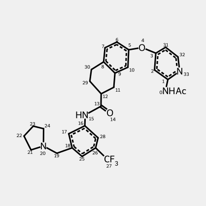 CC(=O)Nc1cc(Oc2ccc3c(c2)CC(C(=O)Nc2cc(CN4CCCC4)cc(C(F)(F)F)c2)CC3)ccn1